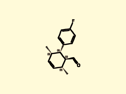 C[C@@H]1C=C[C@H](C)[C@H](c2ccc(F)cc2)[C@H]1C=O